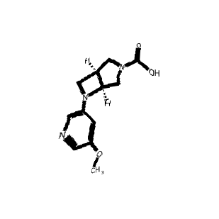 COc1cncc(N2C[C@H]3CN(C(=O)O)C[C@H]32)c1